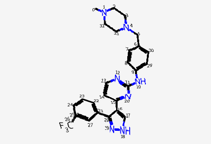 CN1CCN(Cc2ccc(Nc3nccc(-c4c[nH]nc4-c4cccc(C(F)(F)F)c4)n3)cc2)CC1